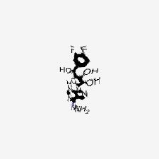 N/N=c1/nc[nH]c2c1cnn2[C@@H]1O[C@H]([C@H](O)c2ccc(F)c(F)c2)[C@@H](O)[C@H]1O